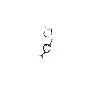 CCN1CCN(Cc2ccc(C(=O)NC)cn2)CC1